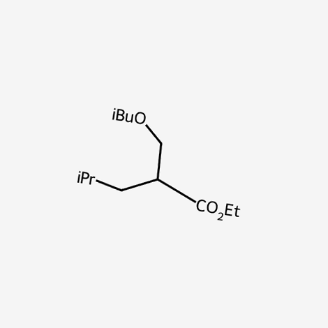 CCOC(=O)C(COCC(C)C)CC(C)C